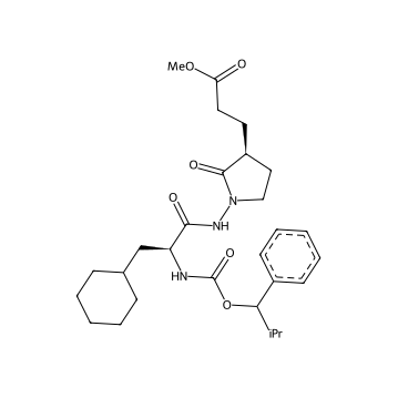 COC(=O)CC[C@H]1CCN(NC(=O)[C@H](CC2CCCCC2)NC(=O)OC(c2ccccc2)C(C)C)C1=O